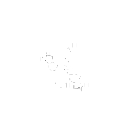 CN1CCN(S(=O)(=O)N2c3ccc4[nH]ncc4c3[C@H]3C4CCC(C4)[C@H]3[C@@H]2c2ccc3[nH]ncc3c2)CC1